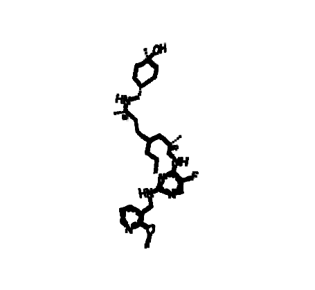 CCCC(CC[C@H](C)NC[C@H]1CC[C@](C)(O)CC1)C[C@H](C)CNc1nc(NCc2cccnc2OC)ncc1F